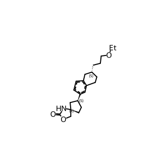 CCOCCC[C@@H]1CCc2cc([C@H]3CC[C@]4(COC(=O)N4)C3)ccc2C1